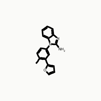 Cc1ccc(-n2c(N)nc3ccccc32)cc1-c1ccco1